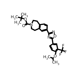 CC(C)Oc1ccc(-c2nc(-c3ccc4c(c3)CCN(C(=O)OC(C)(C)C)CC4)no2)cc1C(F)(F)F